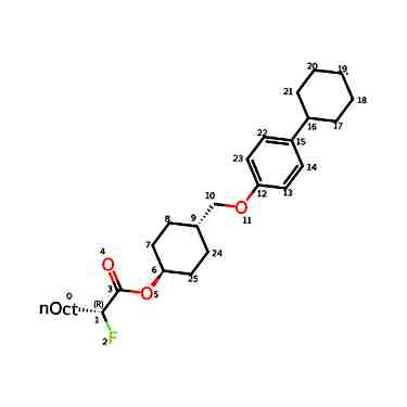 CCCCCCCC[C@@H](F)C(=O)O[C@H]1CC[C@H](COc2ccc(C3CC[CH]CC3)cc2)CC1